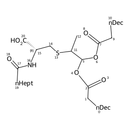 CCCCCCCCCCCC(=O)OC(OC(=O)CCCCCCCCCCC)C(C)SC[C@H](NC(=O)CCCCCCC)C(=O)O